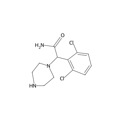 NC(=O)C(c1c(Cl)cccc1Cl)N1CCNCC1